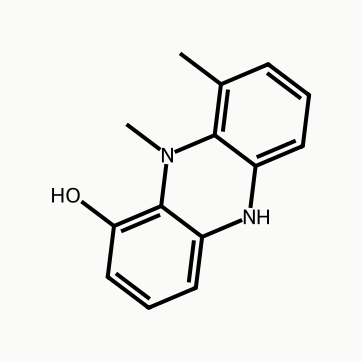 Cc1cccc2c1N(C)c1c(O)cccc1N2